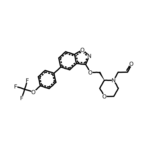 O=CCN1CCOC[C@H]1COc1noc2ccc(-c3ccc(OC(F)(F)F)cc3)cc12